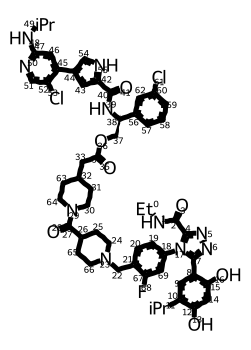 CCNC(=O)c1nnc(-c2cc(C(C)C)c(O)cc2O)n1-c1ccc(CN2CCC(C(=O)N3CCC(CC(=O)OC[C@@H](NC(=O)c4cc(-c5cc(NC(C)C)ncc5Cl)c[nH]4)c4cccc(Cl)c4)CC3)CC2)c(F)c1